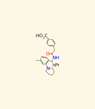 CCCC(NC(=O)Cc1ccc(C(=O)O)cc1)c1ccc(C)cc1N1CCCCC1